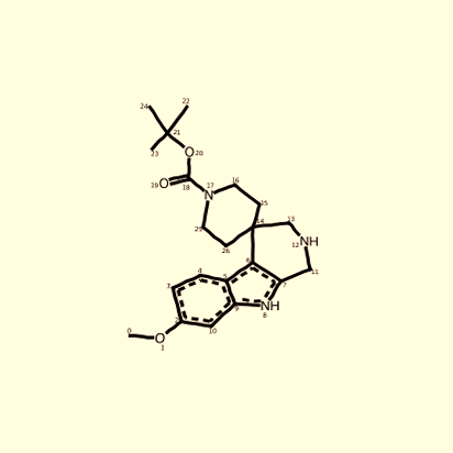 COc1ccc2c3c([nH]c2c1)CNCC31CCN(C(=O)OC(C)(C)C)CC1